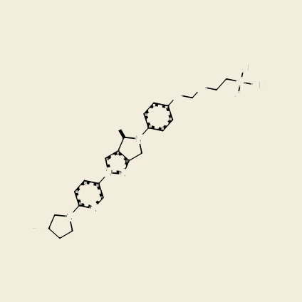 C[Si](C)(C)CCOCOc1ccc(N2Cc3nn(-c4ccc(N5CC[C@H](F)C5)nc4)cc3C2=O)cc1